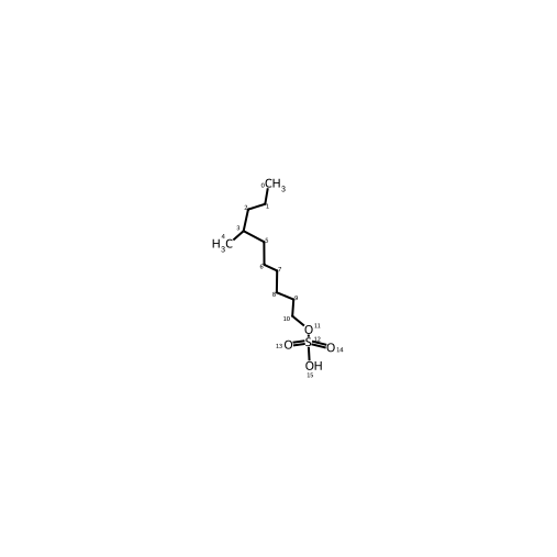 CCCC(C)CCCCCCOS(=O)(=O)O